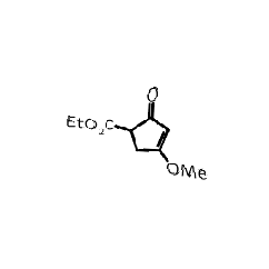 CCOC(=O)C1CC(OC)=CC1=O